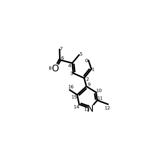 C/C=C(\C=C(/C)C(C)=O)c1cc(C)ncc1C